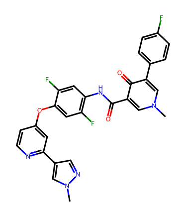 Cn1cc(C(=O)Nc2cc(F)c(Oc3ccnc(-c4cnn(C)c4)c3)cc2F)c(=O)c(-c2ccc(F)cc2)c1